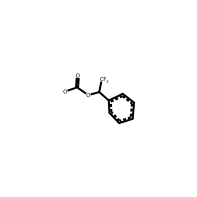 [O]C(=O)OC(c1ccccc1)C(F)(F)F